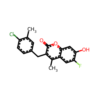 Cc1cc(Cc2c(C)c3cc(F)c(O)cc3oc2=O)ccc1Cl